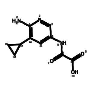 Nc1ncc(NC(=O)C(=O)O)cc1C1CC1